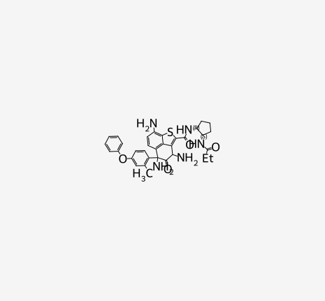 CCC(=O)N[C@H]1CCC[C@H]1NC(=O)c1sc2c(N)ccc3c2c1C(N)C(=O)C3(N)c1ccc(Oc2ccccc2)cc1C